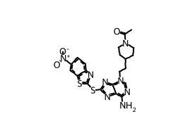 CC(=O)N1CCC(CCn2cnc(N)c3nc(Sc4nc5ccc([N+](=O)[O-])cc5s4)nc2-3)CC1